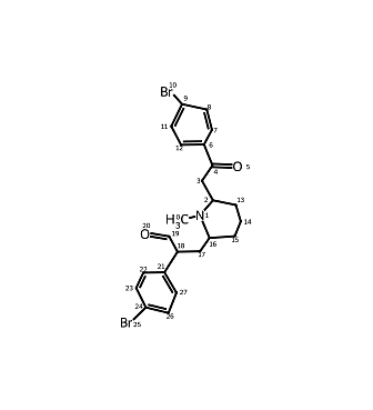 CN1C(CC(=O)c2ccc(Br)cc2)CCCC1CC(C=O)c1ccc(Br)cc1